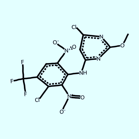 COc1nc(Cl)cc(Nc2c([N+](=O)[O-])cc(C(F)(F)F)c(Cl)c2[N+](=O)[O-])n1